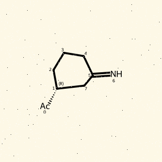 CC(=O)[C@@H]1CCCC(=N)C1